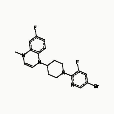 CN1C=CN(C2CCN(c3ncc(Br)cc3F)CC2)c2ccc(F)cc21